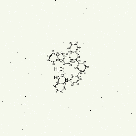 CCC1Nc2ccccc2N1c1cccc(-c2cccc(-c3nc4ccccc4c4c3ccc3c5ccccc5sc34)c2)c1